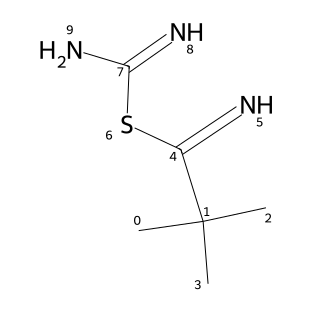 CC(C)(C)C(=N)SC(=N)N